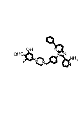 Nc1ncccc1-c1nc2ccc(-c3ccccc3)nc2n1-c1ccc(CN2CCN(c3cc(O)c(C=O)c(F)c3)CC2)cc1